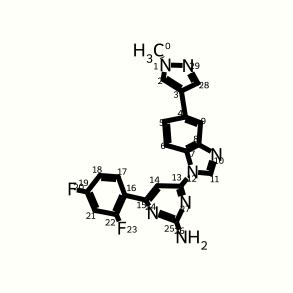 Cn1cc(-c2ccc3c(c2)ncn3-c2cc(-c3ccc(F)cc3F)nc(N)n2)cn1